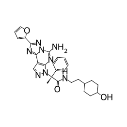 C[C@](C(=O)NCCC1CCC(O)CC1)(c1ccccc1)n1ncc2c1nc(N)n1nc(-c3ccco3)nc21